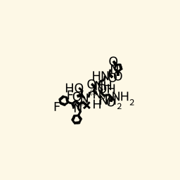 CC(C)(C)[C@H](c1cc(-c2cc(F)ccc2F)cn1Cc1ccccc1)N(CC[C@H](NC(O)[C@@H](N)CC(N)=O)C(=O)NCCNC(=O)CN1C(=O)C=CC1=O)C(=O)CO